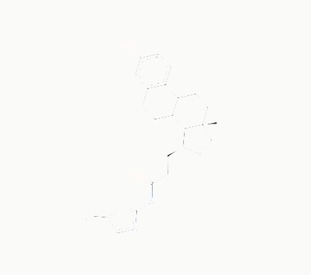 Cc1cnc(NC(=O)CC[C@@H]2CC[C@@]3(C)CCC4c5ccc(O)cc5CCC4C23)s1